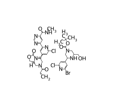 C=CC(=O)N1C[C@H]2COC(=O)N2[C@@H](c2cc(Cl)nc(-c3cc(C(=O)NC)ncn3)c2)C1.CC(C)(C)OC(=O)N1CC(CO)NC(c2cc(Cl)nc(Br)c2)C1